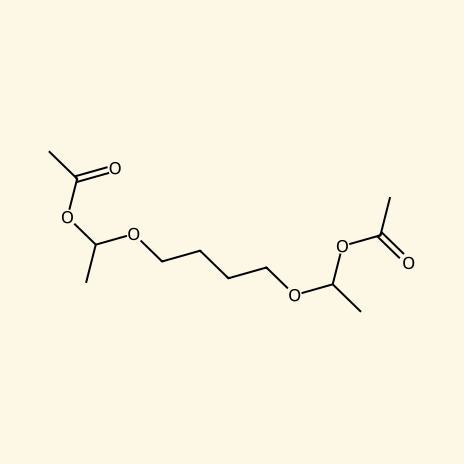 CC(=O)OC(C)OCCCCOC(C)OC(C)=O